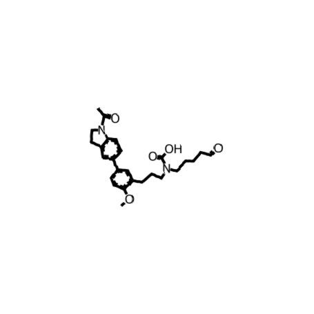 COc1ccc(-c2ccc3c(c2)CCN3C(C)=O)cc1CCCN(CCCCC=O)C(=O)O